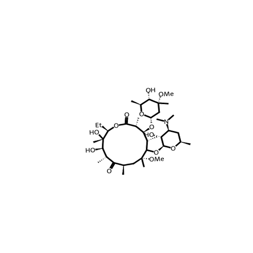 CC[C@H]1OC(=O)[C@H](C)[C@@H](O[C@H]2C[C@@](C)(OC)[C@@H](O)[C@H](C)O2)[C@H](C)C(O[C@@H]2O[C@H](C)C[C@H](N(C)C)[C@H]2O)[C@](C)(OC)C[C@@H](C)C(=O)[C@H](C)[C@@H](O)[C@]1(C)O